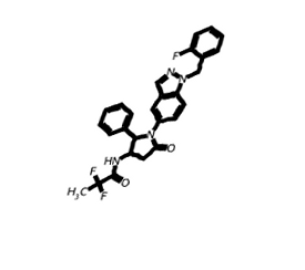 CC(F)(F)C(=O)NC1CC(=O)N(c2ccc3c(cnn3Cc3ccccc3F)c2)C1c1ccccc1